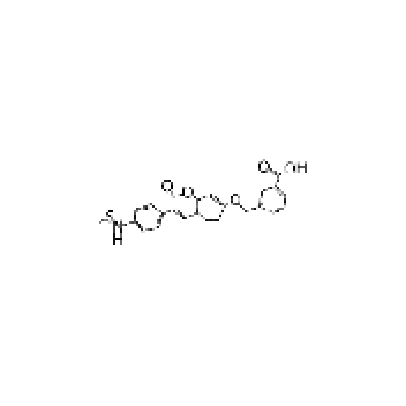 CSNc1ccc(-c2cc3ccc(OCc4cccc(C(=O)O)c4)cc3oc2=O)cc1